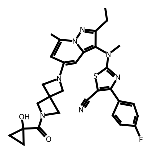 CCc1nn2c(C)cc(N3CC4(CN(C(=O)C5(O)CC5)C4)C3)cc2c1N(C)c1nc(-c2ccc(F)cc2)c(C#N)s1